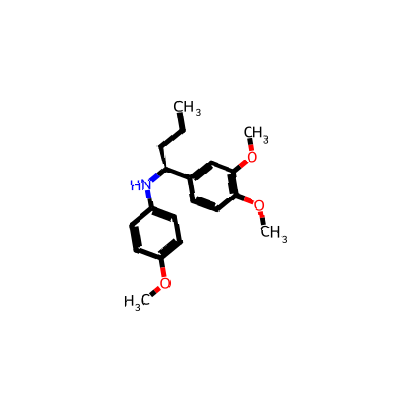 CCC[C@H](Nc1ccc(OC)cc1)c1ccc(OC)c(OC)c1